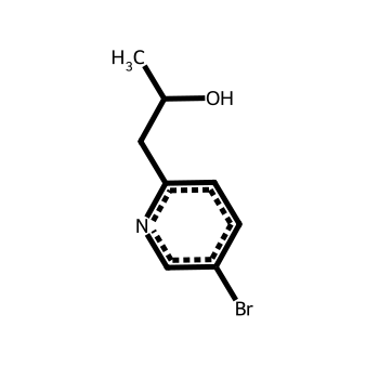 CC(O)Cc1ccc(Br)cn1